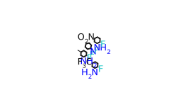 Cc1ccc(F)c(N)c1.FN(F)c1ccccc1.Nc1cc(C(F)(F)F)ccc1F.Nc1cc([N+](=O)[O-])ccc1F